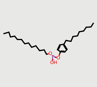 CCCCCCCCCCCCCOP(O)Oc1ccc(CCCCCCCCC)cc1